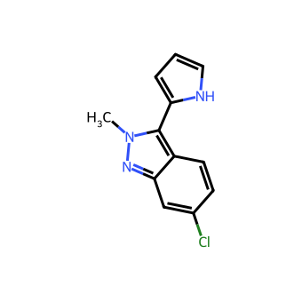 Cn1nc2cc(Cl)ccc2c1-c1ccc[nH]1